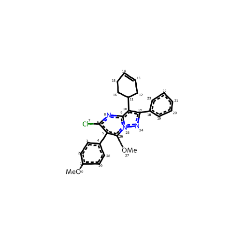 COc1ccc(-c2c(Cl)nc3c(C4CC=CCC4)c(-c4ccccc4)nn3c2OC)cc1